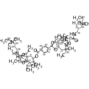 CCC1(C)CC(OC(=O)c2ccc(C(=O)OC3CC(C)(CC)N(OC(C)C(=O)NCCC[N+](C)(C)CC)C(C)(CC)C3C)cc2)C(C)C(C)(CC)N1OC(C)C(=O)NCCC[N+](C)(C)CC